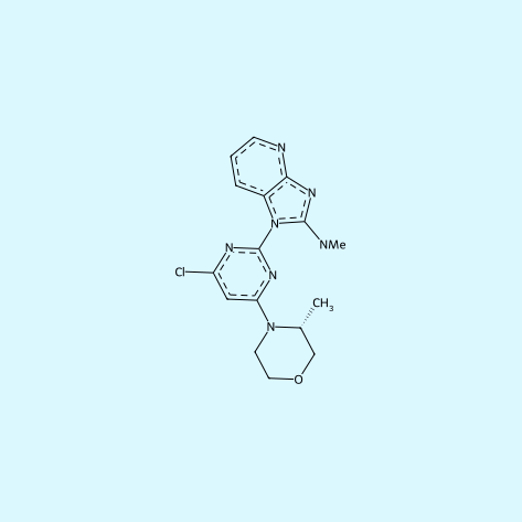 CNc1nc2ncccc2n1-c1nc(Cl)cc(N2CCOC[C@H]2C)n1